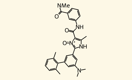 CNC(=O)c1cccc(NC(=O)c2c(C)[nH]c(-c3cc(-c4c(C)cccc4C)cc(N(C)C)c3)[n+]2[O-])c1